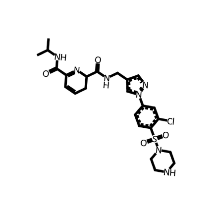 CC(C)NC(=O)C1=NC(C(=O)NCc2cnn(-c3ccc(S(=O)(=O)N4CCNCC4)c(Cl)c3)c2)CC=C1